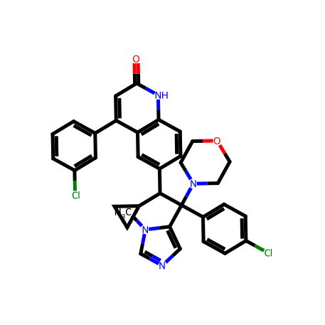 Cn1cncc1C(c1ccc(Cl)cc1)(C(c1ccc2[nH]c(=O)cc(-c3cccc(Cl)c3)c2c1)C1CC1)N1CCOCC1